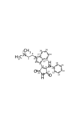 CN(C)CCn1cc(C2=C(Nc3ccccc3)C(=O)NC2=O)c2ccccc21